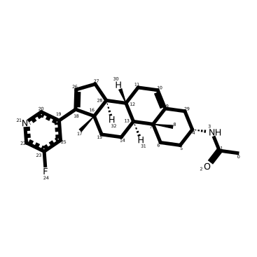 CC(=O)N[C@@H]1CC[C@@]2(C)C(=CC[C@@H]3[C@@H]2CC[C@]2(C)C(c4cncc(F)c4)=CC[C@@H]32)C1